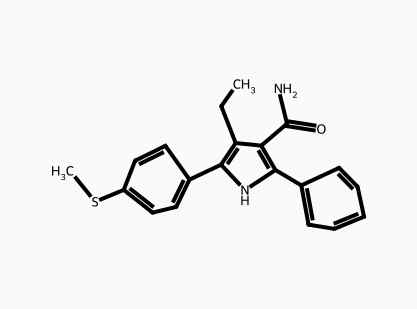 CCc1c(-c2ccc(SC)cc2)[nH]c(-c2ccccc2)c1C(N)=O